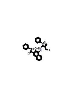 O=Cc1cnn(-c2ccccc2)c1/N=N/c1c(O)c(C(=O)Nc2ccccc2)cc2ccccc12